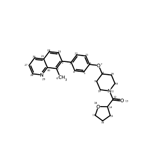 Cc1c(-c2ccc(OC3CCN(C(=O)C4CCCO4)CC3)cc2)ccc2cccnc12